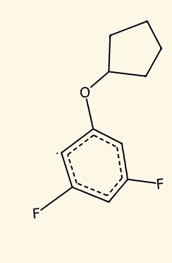 Fc1[c]c(OC2CCCC2)cc(F)c1